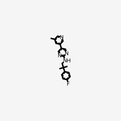 Cc1cncc(-c2cnc(NCC(C)(C)c3ccc(F)cc3)nc2)c1